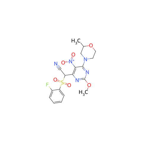 COc1nc(C(C#N)S(=O)(=O)c2ccccc2F)c([N+](=O)[O-])c(N2CCOC(C)C2)n1